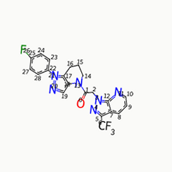 O=C(Cn1nc(C(F)(F)F)c2cccnc21)N1CCCc2c1cnn2-c1ccc(F)cc1